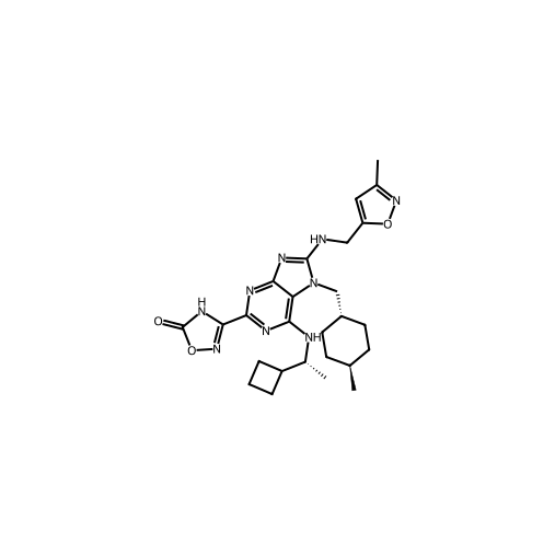 Cc1cc(CNc2nc3nc(-c4noc(=O)[nH]4)nc(N[C@H](C)C4CCC4)c3n2C[C@H]2CC[C@H](C)CC2)on1